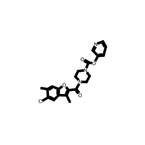 Cc1cc2oc(C(=O)N3CCN(C(=O)Oc4cccnc4)CC3)c(C)c2cc1Cl